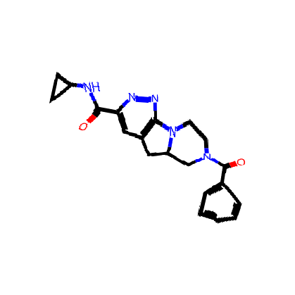 O=C(NC1CC1)c1cc2c(nn1)N1CCN(C(=O)c3ccccc3)CC1C2